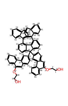 OCCOc1cc2ccc(C3(c4ccc5cc(OCCO)c6ccccc6c5c4)c4cccc(-c5cccc6ccccc56)c4-c4c(-c5cccc6ccccc56)cccc43)cc2c2ccccc12